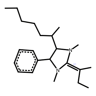 CCCCCC(C)C1C(c2ccccc2)N(C)/C(=C(/C)CC)N1C